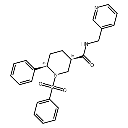 O=C(NCc1cccnc1)[C@@H]1CC[C@H](c2ccccc2)N(S(=O)(=O)c2ccccc2)C1